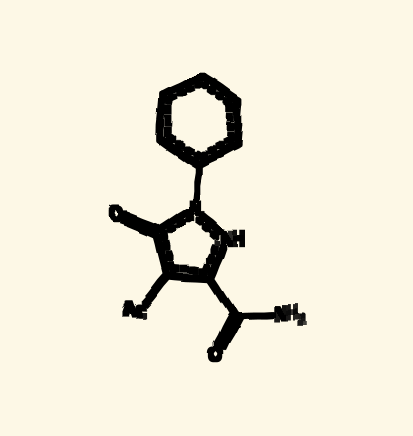 CC(=O)c1c(C(N)=O)[nH]n(-c2ccccc2)c1=O